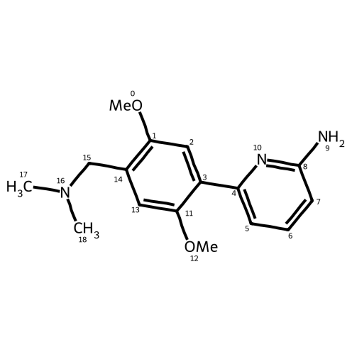 COc1cc(-c2cccc(N)n2)c(OC)cc1CN(C)C